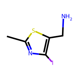 Cc1nc(I)c(CN)s1